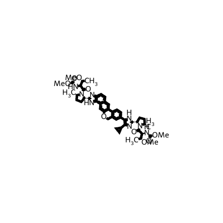 COC(=O)NC(C(=O)N1[C@@H](C)CC[C@H]1c1nc2ccc3cc4c(cc3c2[nH]1)OCc1cc(-c2[nH]c([C@@H]3CC[C@H](C)N3C(=O)[C@@H](NC(=O)OC)[C@@H](C)OC)nc2C2CC2)ccc1-4)[C@@H](C)OC